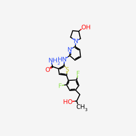 CC(O)Cc1cc(F)c(-c2cc(C(N)=O)c(Nc3cccc(N4CCC(O)C4)n3)s2)c(F)c1